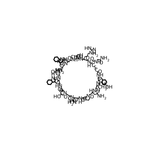 CCCC[C@H]1C(=O)N(C)[C@@H](CCCC)C(=O)N[C@@H](CCCNC(=N)N)C(=O)N[C@H](C(=O)NCC(N)=O)CSCC(=O)N[C@@H](Cc2ccc(O)cc2)C(=O)N(C)[C@@H](C)C(=O)N[C@@H](CC(N)=O)C(=O)N2CCC[C@H]2C(=O)N[C@@H](CN)C(=O)N[C@@H](CC(C)C)C(=O)N2C[C@H](O)C[C@H]2C(=O)N[C@@H](Cc2c[nH]c3ccccc23)C(=O)N[C@@H](CC(N)=O)C(=O)N[C@@H](Cc2c[nH]c3ccccc23)C(=O)N1C